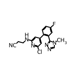 Cn1cnnc1-c1cc(F)ccc1-c1cc(Cl)nc(NCCC#N)c1